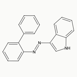 c1ccc(-c2ccccc2/N=N/c2c[nH]c3ccccc23)cc1